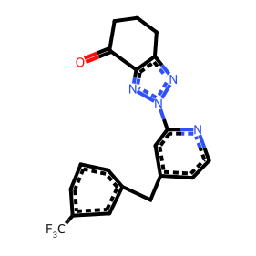 O=C1CCCc2nn(-c3cc(Cc4cccc(C(F)(F)F)c4)ccn3)nc21